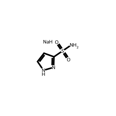 NS(=O)(=O)c1cc[nH]n1.[NaH]